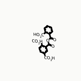 O=C(O)c1ccc(C(=O)O)c(C(=O)OC(=O)c2ccccc2C(=O)O)c1